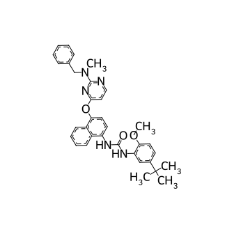 COc1ccc(C(C)(C)C)cc1NC(=O)Nc1ccc(Oc2ccnc(N(C)Cc3ccccc3)n2)c2ccccc12